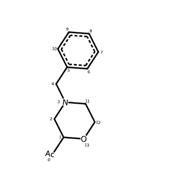 CC(=O)C1CN(Cc2ccccc2)CCO1